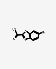 NC(=O)c1nc2ccc(Br)cc2s1